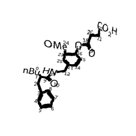 CCCCC(Cc1ccccc1)C(=O)NCc1ccc(OC(=O)CCC(=O)O)c(OC)c1